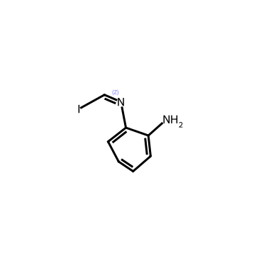 Nc1ccccc1/N=C\I